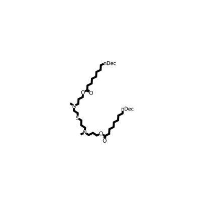 CCCCCCCCCCCCCCCCCC(=O)OCCCN(C)CCCSCCN(C)CCCOC(=O)CCCCCCCCCCCCCCCCC